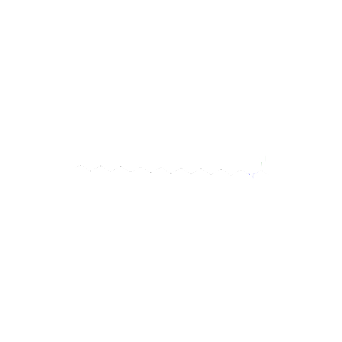 CCCCCCCCCCCCCCCCCCNC(C)Cl